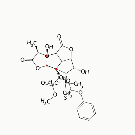 COC(=O)C(OC(=S)Oc1ccccc1)C12COC34C(=O)OC([C@H](O)[C@H]1C(C)(C)C)C23[C@@H](O)C1OC(=O)[C@@H](C)[C@@]14O